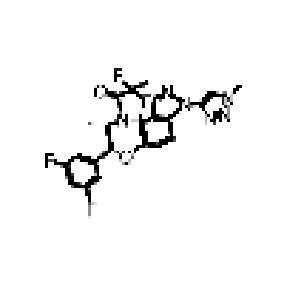 C[C@H](NC(=O)C(C)(F)F)[C@H](Oc1ccc2c(cnn2-c2cn(C)nn2)c1)c1cc(F)cc(F)c1